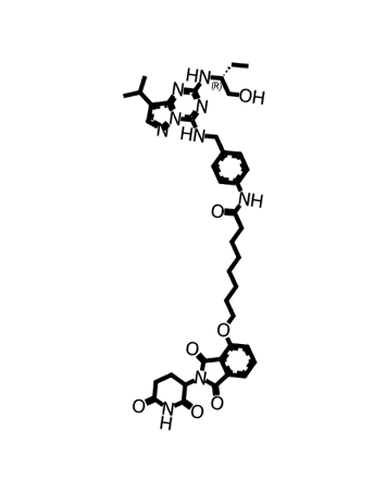 CC[C@H](CO)Nc1nc(NCc2ccc(NC(=O)CCCCCCCOc3cccc4c3C(=O)N(C3CCC(=O)NC3=O)C4=O)cc2)n2ncc(C(C)C)c2n1